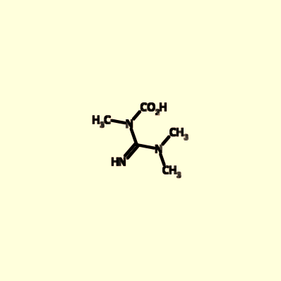 CN(C)C(=N)N(C)C(=O)O